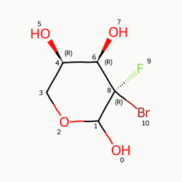 OC1OC[C@@H](O)[C@@H](O)[C@@]1(F)Br